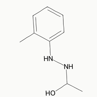 Cc1ccccc1NNC(C)O